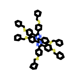 c1ccc(CSc2ccc(C3=NC(c4ccc(SCc5ccccc5)cc4)(C4(c5ccc(SCc6ccccc6)cc5)N=C(c5ccc(SCc6ccccc6)cc5)C(c5ccc(SCc6ccccc6)cc5)=N4)N=C3c3ccc(SCc4ccccc4)cc3)cc2)cc1